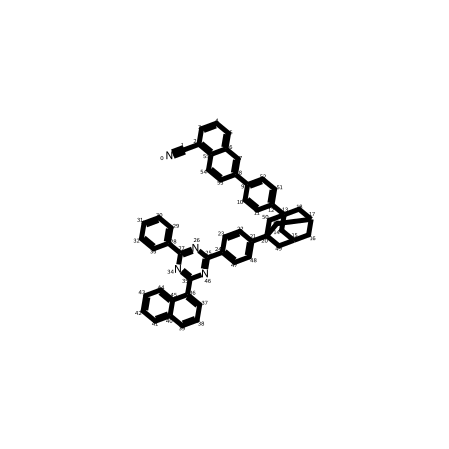 N#Cc1cccc2cc(-c3ccc(C45CC6CC(C4)CC(c4ccc(-c7nc(-c8ccccc8)nc(-c8cccc9ccccc89)n7)cc4)(C6)C5)cc3)ccc12